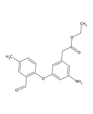 CCOC(=O)Cc1cc(N)cc(Oc2ccc(C)cc2C=O)c1